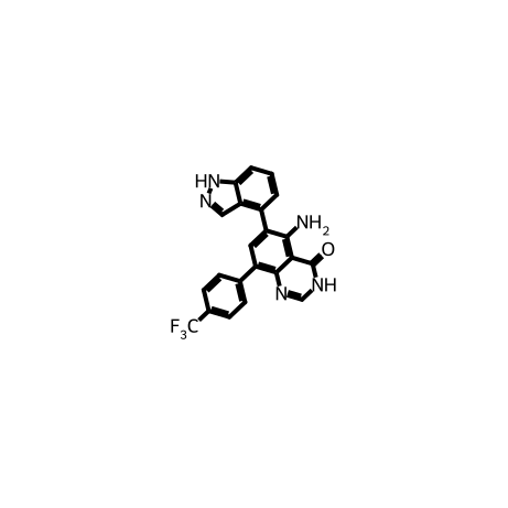 Nc1c(-c2cccc3[nH]ncc23)cc(-c2ccc(C(F)(F)F)cc2)c2nc[nH]c(=O)c12